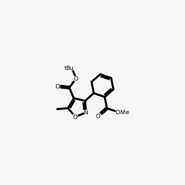 COC(=O)C1=CC=CCC1c1noc(C)c1C(=O)OC(C)(C)C